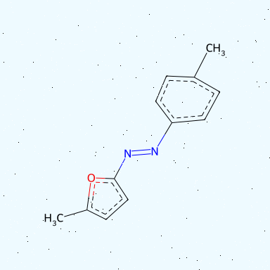 Cc1ccc(N=Nc2ccc(C)o2)cc1